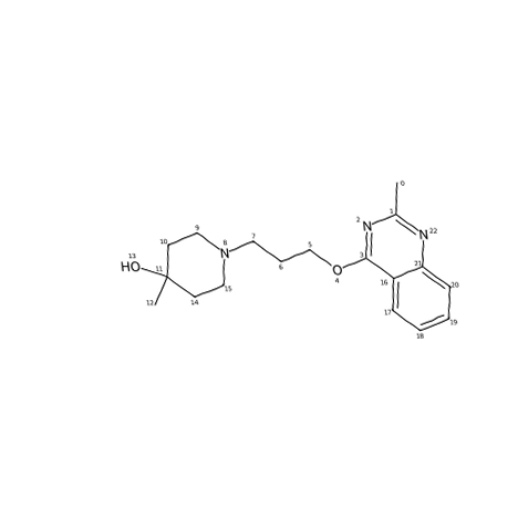 Cc1nc(OCCCN2CCC(C)(O)CC2)c2ccccc2n1